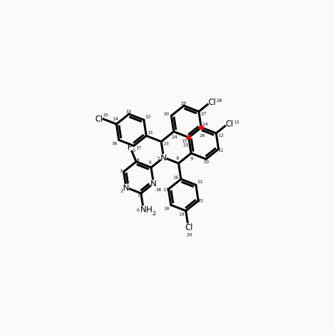 Nc1ncc(F)c(N(C(c2ccc(Cl)cc2)c2ccc(Cl)cc2)C(c2ccc(Cl)cc2)c2ccc(Cl)cc2)n1